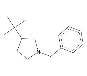 CC(C)(C)C1CCN(Cc2ccccc2)C1